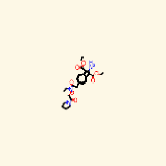 CCOC(=O)c1c2ccc(CC(=O)N(CC)OCC(=O)N3CCCC3)ccc-2c(C(=O)OCC)c1N